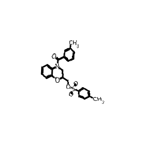 Cc1ccc(S(=O)(=O)OCC2CN(C(=O)c3cccc(C)c3)c3ccccc3O2)cc1